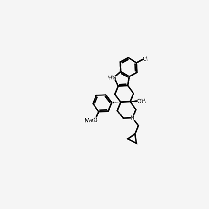 COc1cccc([C@@]23CCN(CC4CC4)C[C@@]2(O)Cc2c([nH]c4ccc(Cl)cc24)C3)c1